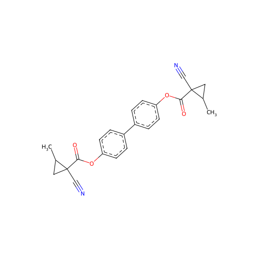 CC1CC1(C#N)C(=O)Oc1ccc(-c2ccc(OC(=O)C3(C#N)CC3C)cc2)cc1